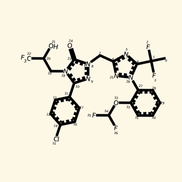 CC(F)(F)c1nc(Cn2nc(-c3ccc(Cl)cc3)n(CC(O)C(F)(F)F)c2=O)nn1-c1ccccc1OC(F)F